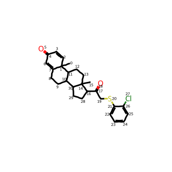 CC12C=CC(=O)C=C1CCC1C2CCC2(C)C(C(=O)CSc3ccccc3Cl)CCC12